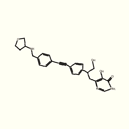 O=c1[nH]cnc(CC(CO)c2ccc(C#Cc3ccc(CNC4CCOC4)cc3)cc2)c1O